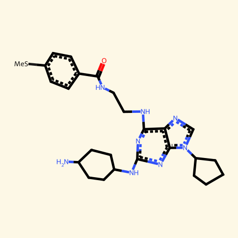 CSc1ccc(C(=O)NCCNc2nc(NC3CCC(N)CC3)nc3c2ncn3C2CCCC2)cc1